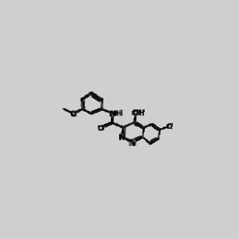 COc1cccc(NC(=O)c2nnc3ccc(Cl)cc3c2O)c1